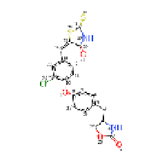 O=C1NC(Cc2ccc(Oc3ccc(C=C4SC(=S)NC4=O)cc3Cl)cc2)CO1